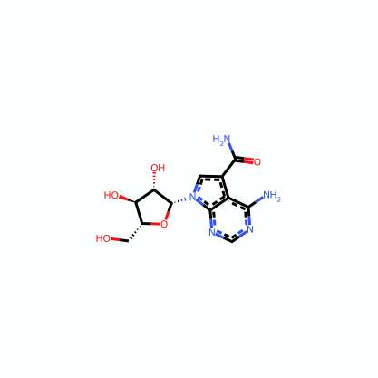 NC(=O)c1cn([C@@H]2O[C@H](CO)[C@@H](O)[C@@H]2O)c2ncnc(N)c12